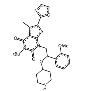 COc1ccccc1C(Cn1c(=O)n(C(C)(C)C)c(=O)c2c(C)c(-c3ncco3)sc21)OC1CCNCC1